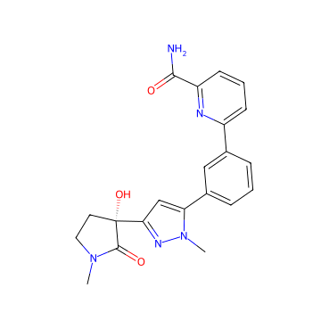 CN1CC[C@@](O)(c2cc(-c3cccc(-c4cccc(C(N)=O)n4)c3)n(C)n2)C1=O